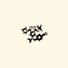 CC(C)N(Cc1ccc(C#N)cc1)[C@H]1C[C@@H](C(=O)N2CCSC2)N(C(=O)OC(C)(C)C)C1